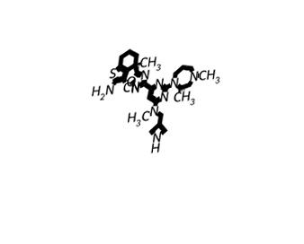 C[C@H]1CN(C)CCCN1c1nc(-c2noc([C@@]3(C)CCCc4sc(N)c(C#N)c43)n2)cc(N(C)CC2CNC2)n1